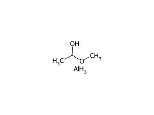 COC(C)O.[AlH3]